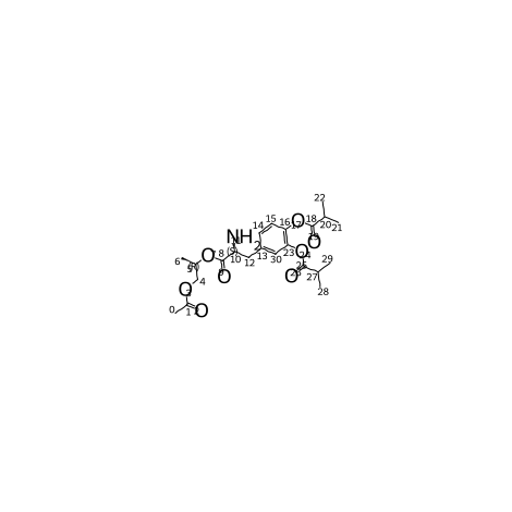 CC(=O)OC[C@@H](C)OC(=O)[C@@H](N)Cc1ccc(OC(=O)C(C)C)c(OC(=O)C(C)C)c1